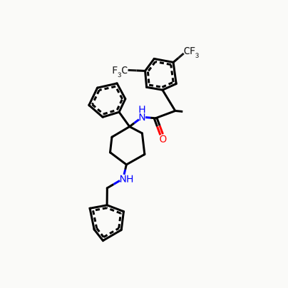 CC(C(=O)NC1(c2ccccc2)CCC(NCc2ccccc2)CC1)c1cc(C(F)(F)F)cc(C(F)(F)F)c1